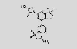 C[C@H]1[C@H](O)CN1c1nc(-c2ccc3c(c2)S(=O)(=O)C[C@@H]3N)c2c(n1)C(F)(F)CC2